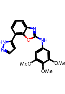 COc1cc(Nc2nc3cccc(-c4ccn[nH]4)c3o2)cc(OC)c1OC